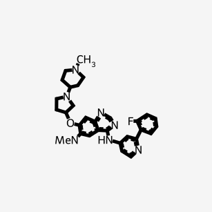 CNc1cc2c(Nc3ccnc(-c4ccccc4F)c3)ncnc2cc1OC1CCN(C2CCN(C)CC2)C1